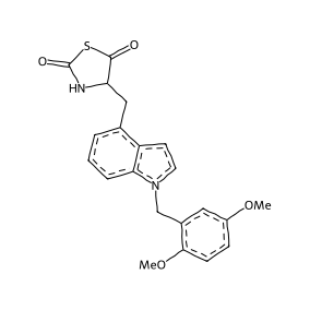 COc1ccc(OC)c(Cn2ccc3c(CC4NC(=O)SC4=O)cccc32)c1